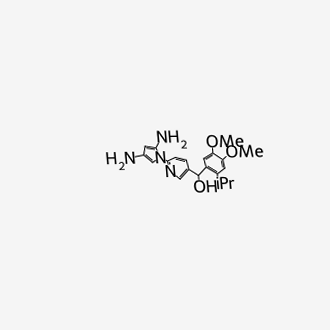 COc1cc(C(C)C)c(C(O)c2ccc(-n3cc(N)cc3N)nc2)cc1OC